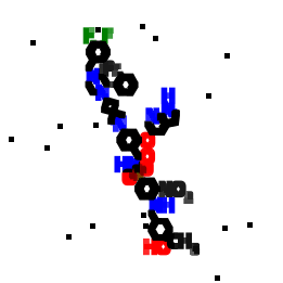 CC(C)c1ccccc1[C@@H]1CN(Cc2ccc(F)c(F)c2)CCN1C1CC2(C1)CN(c1ccc(C(=O)NS(=O)(=O)c3ccc(NCC4CCC(C)(O)CC4)c([N+](=O)[O-])c3)c(Oc3cnc4[nH]ccc4c3)c1)C2